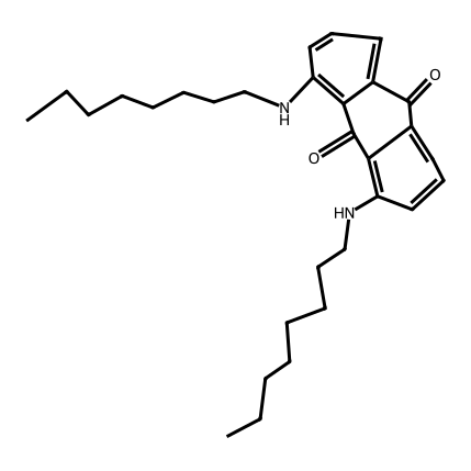 CCCCCCCCNc1cccc2c1C(=O)c1c(NCCCCCCCC)cccc1C2=O